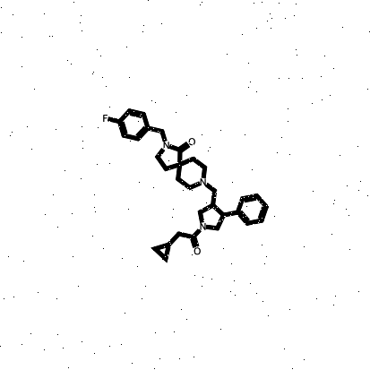 O=C(CC1CC1)N1CC(CN2CCC3(CC2)CCN(Cc2ccc(F)cc2)C3=O)C(c2ccccc2)C1